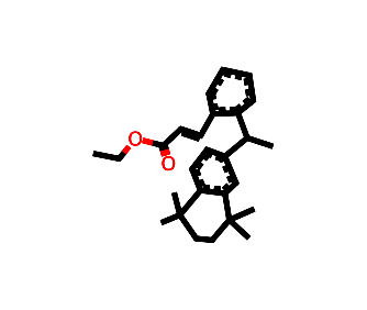 CCOC(=O)/C=C/c1ccccc1C(C)c1ccc2c(c1)C(C)(C)CCC2(C)C